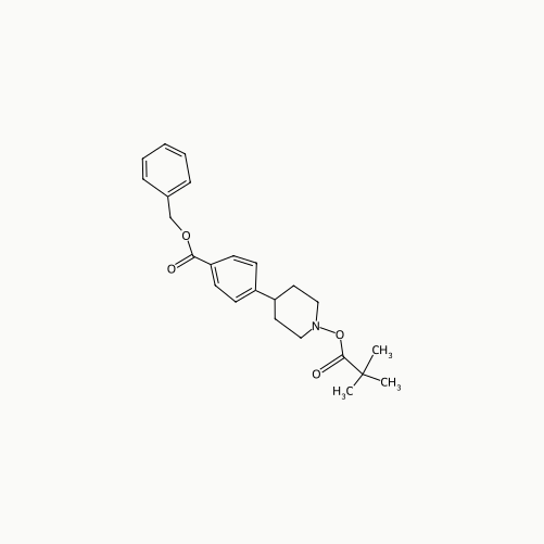 CC(C)(C)C(=O)ON1CCC(c2ccc(C(=O)OCc3ccccc3)cc2)CC1